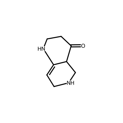 O=C1CCNC2=CCNCC12